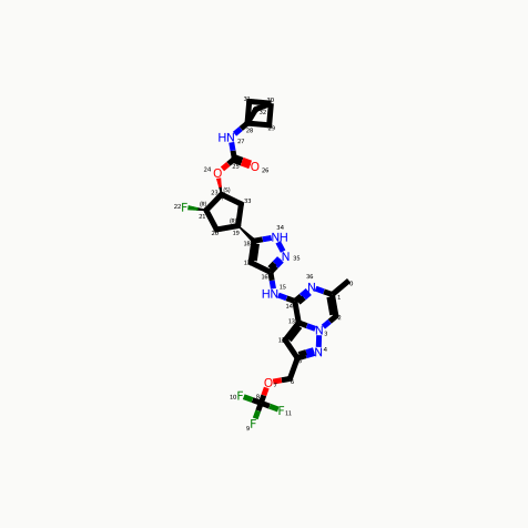 Cc1cn2nc(COC(F)(F)F)cc2c(Nc2cc([C@H]3C[C@@H](F)[C@@H](OC(=O)NC45CC(C4)C5)C3)[nH]n2)n1